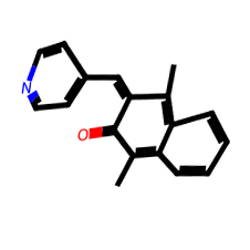 CC1=c2ccccc2=C(C)C(=Cc2ccncc2)C1=O